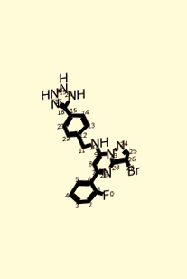 Fc1ccccc1-c1cc(NCc2ccc(C3=NNNN3)cc2)n2ncc(Br)c2n1